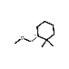 COC[C@@H]1CCCCC1(C)C